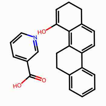 O=C(O)c1cccnc1.OC1=CCCc2ccc3c(c21)CCc1ccccc1-3